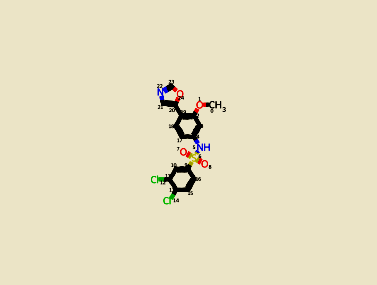 COc1cc(NS(=O)(=O)C2=CC(Cl)C(Cl)C=C2)ccc1-c1cnco1